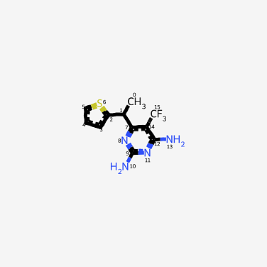 CC(c1cccs1)c1nc(N)nc(N)c1C(F)(F)F